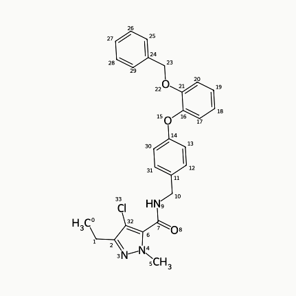 CCc1nn(C)c(C(=O)NCc2ccc(Oc3ccccc3OCc3ccccc3)cc2)c1Cl